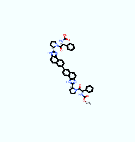 COC(=O)N[C@@H](C(=O)N1CCC[C@H]1c1nc2ccc3cc(-c4ccc5c(ccc6[nH]c([C@@H]7CCCN7C(=O)[C@H](NC(=O)O)c7ccccc7)nc65)c4)ccc3c2[nH]1)c1ccccc1